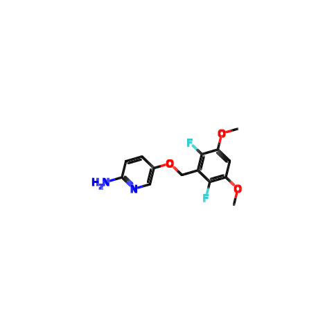 COc1cc(OC)c(F)c(COc2ccc(N)nc2)c1F